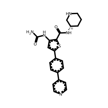 NC(=O)Nc1cc(-c2ccc(-c3ccncc3)cc2)sc1C(=O)N[C@H]1CCCNC1